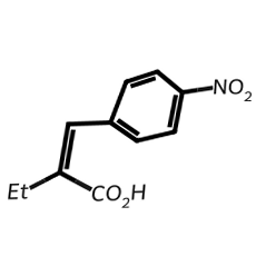 CC/C(=C/c1ccc([N+](=O)[O-])cc1)C(=O)O